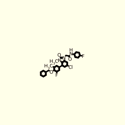 Cc1cc(-c2cc(Cl)cc3c2n(C)c(=O)n3CC(=O)Nc2ccc(F)cc2)cc(F)c1OCc1ccccc1